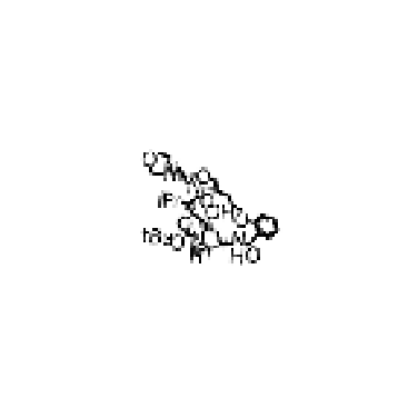 COCCCCCOc1ccccc1C(=O)NC[C@@H](C[C@H](NC(=O)OC(C)(C)C)[C@@H](O)C[C@H](C(=O)NCCN1CCOCC1)C(C)C)C(C)C